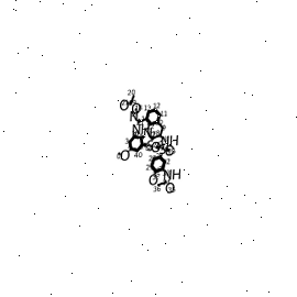 COc1ccc2nc(C(Cc3cccc(/C(N)=N\OC(C)=O)c3)NS(=O)(=O)c3ccc4c(c3)NC(=O)CO4)sc2c1